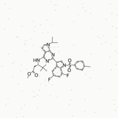 COC(=O)C[C@@H](Nc1nc(-c2cn(S(=O)(=O)c3ccc(C)cc3)c3c(F)cc(F)cc23)nc2c1ccn2C(C)C)C(C)(C)C